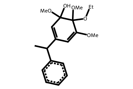 CCOC1(OC)C(OC)=CC(C(C)c2ccccc2)=CC1(O)OC